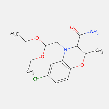 CCOC(CN1c2cc(Cl)ccc2OC(C)C1C(N)=O)OCC